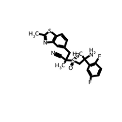 Cc1nc2cc(CC(C)(C#N)S(=O)(=O)CC(C)(N)c3cc(F)ccc3F)ccc2s1